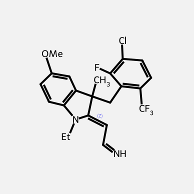 CCN1/C(=C\C=N)C(C)(Cc2c(C(F)(F)F)ccc(Cl)c2F)c2cc(OC)ccc21